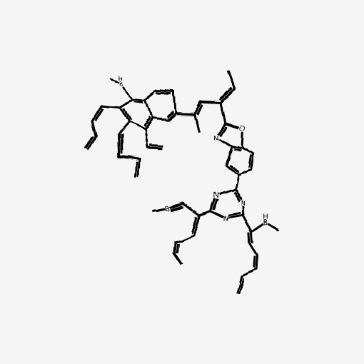 C=C/C=C\C=C(/BC)c1nc(C(/C=B\C)=C/C=C\C)nc(-c2ccc3oc(C(/C=C(\C)c4ccc5c(BC)c(/C=C\C=C)c(/C=C\C=C)c(C=C)c5c4)=C/C)nc3c2)n1